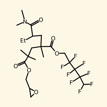 CCC(CC(C)(CC(C)(C)C(=O)OCC1CO1)C(=O)OCC(F)(F)C(F)(F)C(F)(F)C(F)F)C(=O)N(C)C